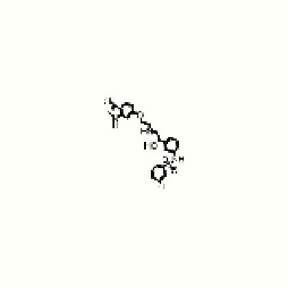 O=S(=O)(Nc1cccc([C@@H](O)CNCCOc2ccc3c(Cl)n[nH]c3c2)c1)c1cccc(Cl)c1